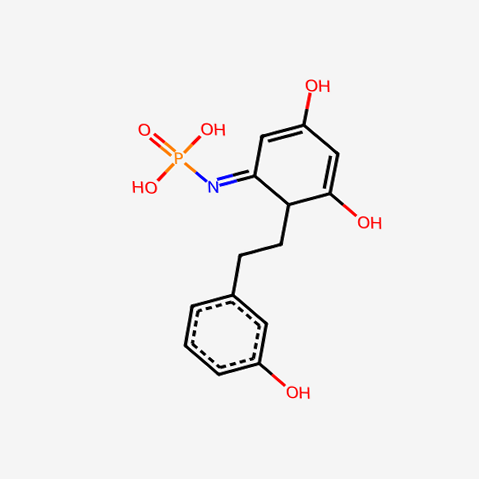 O=P(O)(O)N=C1C=C(O)C=C(O)C1CCc1cccc(O)c1